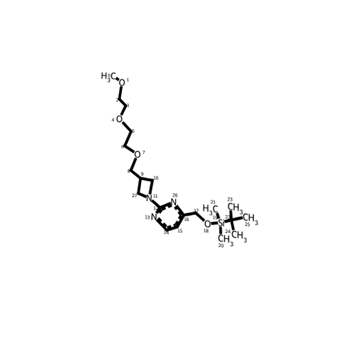 COCCOCCOCC1CN(c2nccc(CO[Si](C)(C)C(C)(C)C)n2)C1